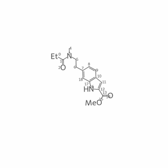 CCC(=O)N(C)CCc1ccc2cc(C(=O)OC)[nH]c2c1